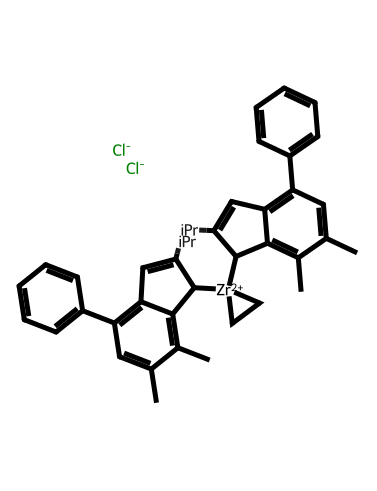 Cc1cc(-c2ccccc2)c2c(c1C)[CH]([Zr+2]1([CH]3C(C(C)C)=Cc4c(-c5ccccc5)cc(C)c(C)c43)[CH2][CH2]1)C(C(C)C)=C2.[Cl-].[Cl-]